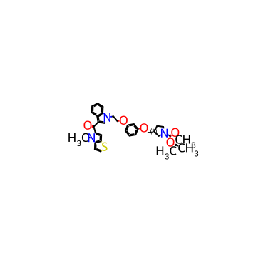 Cn1c(C(=O)c2cn(CCOc3cccc(OC[C@H]4CCN(C(=O)OC(C)(C)C)C4)c3)c3ccccc23)cc2sccc21